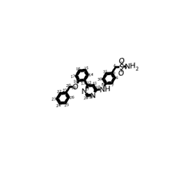 NS(=O)(=O)Cc1ccc(Nc2cc(-c3ccccc3OCc3ccccc3)ncn2)cc1